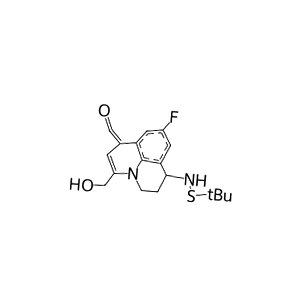 CC(C)(C)SNC1CCN2C(CO)=CC(=C=O)c3cc(F)cc1c32